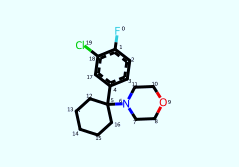 Fc1ccc(C2(N3CCOCC3)C[CH]CCC2)cc1Cl